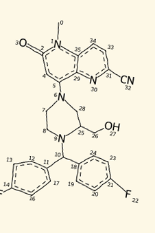 Cn1c(=O)cc(N2CCN(C(c3ccc(F)cc3)c3ccc(F)cc3)C(CO)C2)c2nc(C#N)ccc21